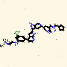 CN(C)CCNc1cc(F)cc(-c2ccnc3[nH]c(-c4n[nH]c5cnc(-c6cncc(CNCC7CCCC7)c6)cc45)cc23)c1